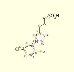 O=S(=O)(O)CCCc1cn(-c2cc(Cl)ccc2F)nn1